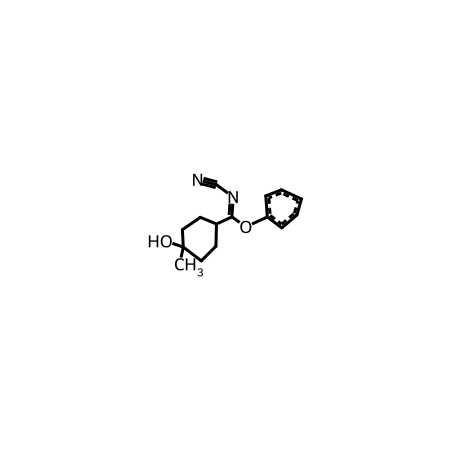 CC1(O)CCC(/C(=N\C#N)Oc2ccccc2)CC1